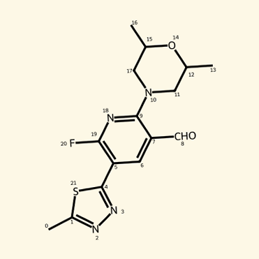 Cc1nnc(-c2cc(C=O)c(N3CC(C)OC(C)C3)nc2F)s1